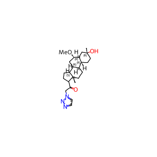 CO[C@@H]1C[C@@H]2[C@H](CC[C@]3(C)C(C(=O)Cn4ccnn4)CC[C@@H]23)[C@H]2CC[C@@](C)(O)C[C@@H]21